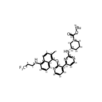 Cc1ccc2c(NCCC(F)(F)F)cccc2c1Oc1ncccc1-c1ccnc(N[C@H]2CCCN(C(=O)OC(C)(C)C)C2)n1